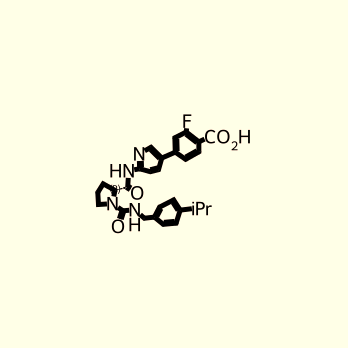 CC(C)c1ccc(CNC(=O)N2CCC[C@@H]2C(=O)Nc2ccc(-c3ccc(C(=O)O)c(F)c3)cn2)cc1